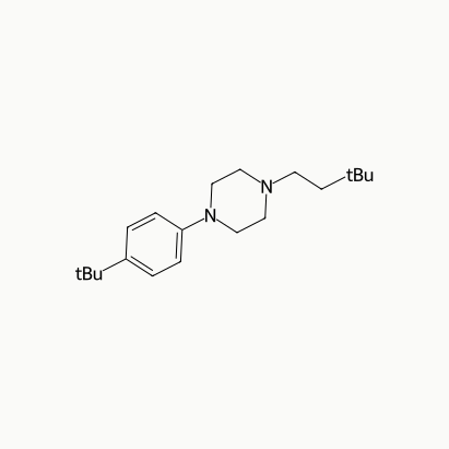 CC(C)(C)CCN1CCN(c2ccc(C(C)(C)C)cc2)CC1